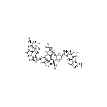 COC(=O)N[C@H](C(=O)N1CCC[C@H]1c1nc(-c2ccc([C@@H]3[C@H](OC)[C@@H](OC)[C@@H](c4ccc(-c5c[nH]c([C@@H]6CCCN6C(=O)[C@@H](NC(=O)OC)C(C)C)n5)cc4)N3c3ccc(C(C)(C)C)cc3)cc2)c[nH]1)C(C)C